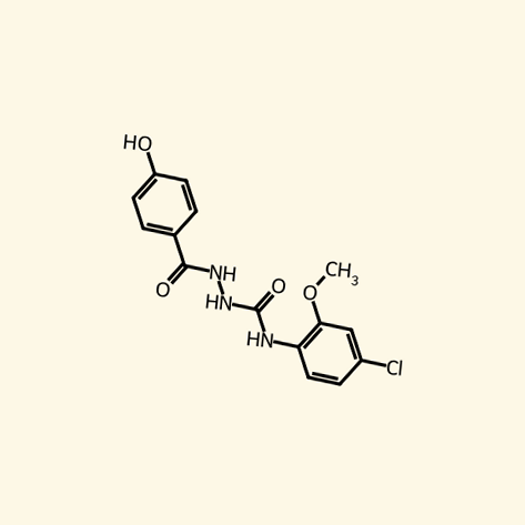 COc1cc(Cl)ccc1NC(=O)NNC(=O)c1ccc(O)cc1